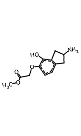 COC(=O)COc1ccc2c(c1O)CC(N)C2